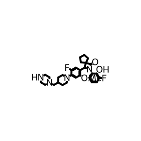 COc1cc(N2CCC(CN3CCNCC3)CC2)c(F)cc1C1N(c2cccc(F)c2O)C(=O)C12CCCC2